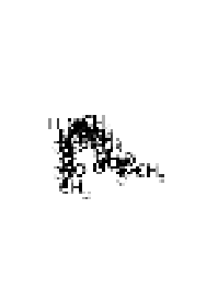 C=CCn1c(=O)c2cc3c(=O)n(CCC[Si](C)(C)O[Si](C)(C)OC(C)(C)[Si](C)(C)CCCn4c(=O)c5cc6c(=O)n(CC=C)c(=O)c6cc5c4=O)c(=O)c3cc2c1=O